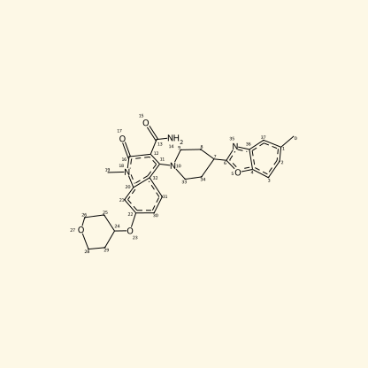 Cc1ccc2oc(C3CCN(c4c(C(N)=O)c(=O)n(C)c5cc(OC6CCOCC6)ccc45)CC3)nc2c1